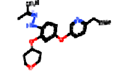 COCc1ccc(Oc2ccc(N/N=C(\C)C(=O)O)c(OC3CCOCC3)c2)cn1